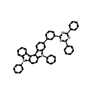 c1ccc(-c2nc(-c3ccccc3)nc(-c3cccc(-c4ccc5c6c7c8ccccc8n(-c8ccccc8)c7ccc6n(-c6ccccc6)c5c4)c3)n2)cc1